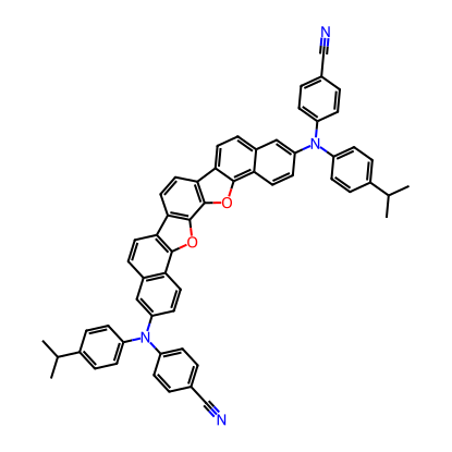 CC(C)c1ccc(N(c2ccc(C#N)cc2)c2ccc3c(ccc4c5ccc6c7ccc8cc(N(c9ccc(C#N)cc9)c9ccc(C(C)C)cc9)ccc8c7oc6c5oc34)c2)cc1